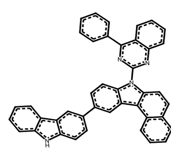 c1ccc(-c2nc(-n3c4ccc(-c5ccc6[nH]c7ccccc7c6c5)cc4c4c5ccccc5ccc43)nc3ccccc23)cc1